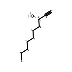 C#C[C@@H](O)CCCCCCC